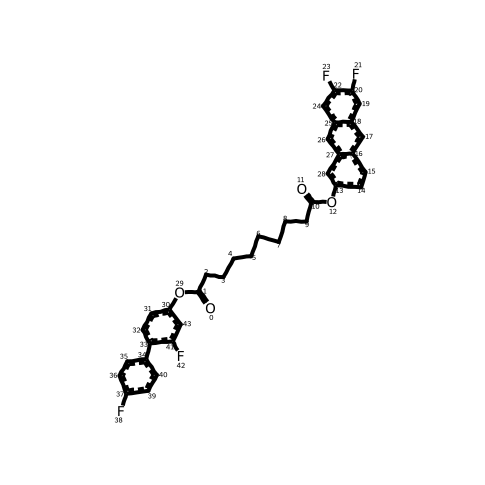 O=C(CCCCCCCCC(=O)Oc1ccc2cc3cc(F)c(F)cc3cc2c1)Oc1ccc(-c2ccc(F)cc2)c(F)c1